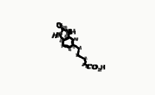 O=C(O)CCCCc1ccc2[nH]c(=O)[nH]c2c1